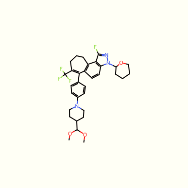 COC(OC)C1CCN(c2ccc(C3=C(C(F)(F)F)CCCc4c3ccc3c4c(F)nn3C3CCCCO3)cc2)CC1